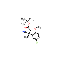 COc1ccc(F)cc1C(C)(C#N)CC(=O)OC(C)(C)C